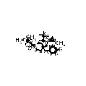 C[C@@H]1C[C@H]1N(CC1(Cc2ccc(F)cc2)CCN(C(=O)OC(C)(C)C)CC1)C(=O)C(F)(F)F